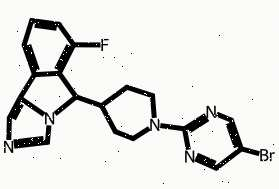 Fc1cccc2c1C(C1CCN(c3ncc(Br)cn3)CC1)n1cncc1-2